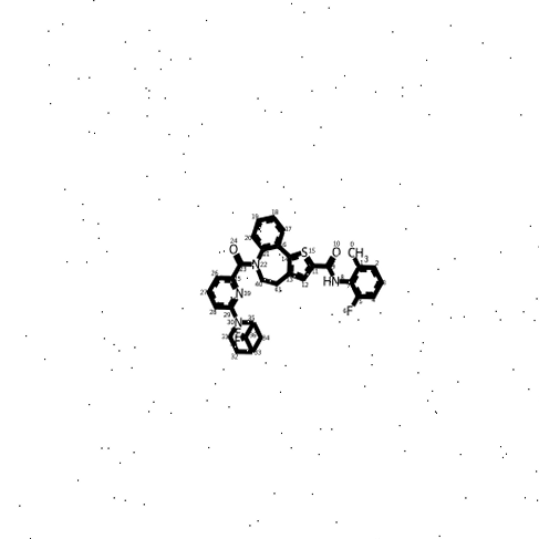 Cc1cccc(F)c1NC(=O)c1cc2c(s1)-c1ccccc1N(C(=O)c1cccc(N3CCC4CC3C4(F)F)n1)CC2